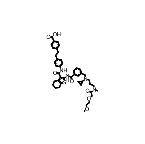 COCCOCC(=O)N(C)CCCN(Cc1cccc(C(=O)Nc2sc3c(c2C(=O)Nc2ccc(CCc4ccc(C(=O)O)cc4)cc2)CCCC3)c1)C1CC1